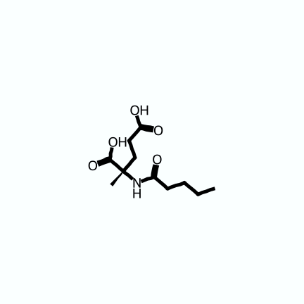 CCCCC(=O)N[C@@](C)(CCC(=O)O)C(=O)O